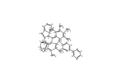 Bc1c(B)c(B)c2c(-n3c(-c4ccccc4)nc4ccccc43)c3c(B)c(B)c(B)c(B)c3c(-c3ccc(-c4ccccc4)cc3)c2c1B